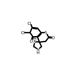 O=C1CC2(CNCN2)C2=C(C=C(Cl)C(Cl)C2=O)S1